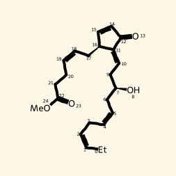 CC/C=C\C/C=C\C[C@H](O)C/C=C1/C(=O)C=C[C@@H]1C/C=C\CCC(=O)OC